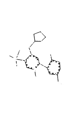 Cc1ccc(C(C)(C)C)cc1-c1cc(CC2CCCC2)c([Si](C)(C)C)c[n+]1C